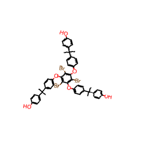 CC(C)(c1ccc(O)cc1)c1ccc(Oc2c(Br)c(Oc3ccc(C(C)(C)c4ccc(O)cc4)cc3)c(Br)c(Oc3ccc(C(C)(C)c4ccc(O)cc4)cc3)c2Br)cc1